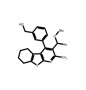 CC(=O)C(OC(C)(C)C)c1c(C)nc2sc3c(c2c1-c1cccc(CO)c1)CCCC3